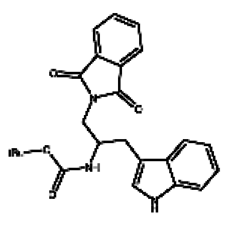 CC(C)(C)OC(=O)NC(Cc1c[nH]c2ccccc12)CN1C(=O)c2ccccc2C1=O